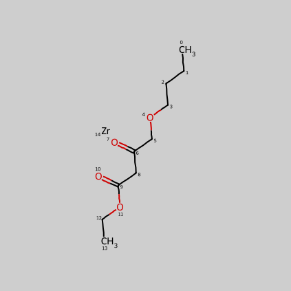 CCCCOCC(=O)CC(=O)OCC.[Zr]